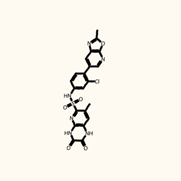 Cc1nc2cc(-c3ccc(NS(=O)(=O)c4nc5[nH]c(=O)c(=O)[nH]c5cc4C)cc3Cl)cnc2o1